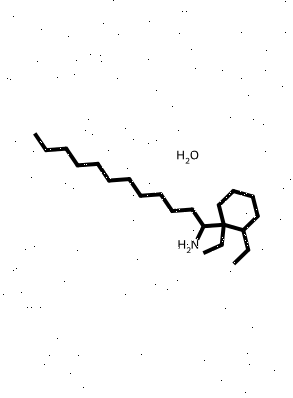 CCCCCCCCCCCC(N)C1(CC)CCCCC1CC.O